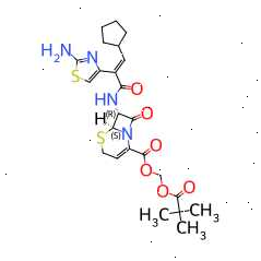 CC(C)(C)C(=O)OCOC(=O)C1=CCS[C@H]2[C@H](NC(=O)C(=CC3CCCC3)c3csc(N)n3)C(=O)N12